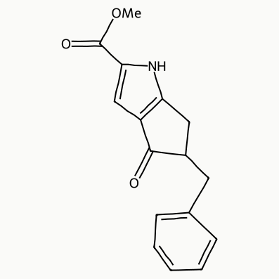 COC(=O)c1cc2c([nH]1)CC(Cc1ccccc1)C2=O